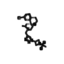 C[C@H]1C[C@@]2(CCN1Cc1cn(C3CN(S(C)(=O)=O)C3)nn1)OCCc1ccc(Cl)cc12